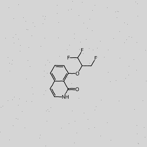 O=c1[nH]ccc2cccc(OC(CF)C(F)F)c12